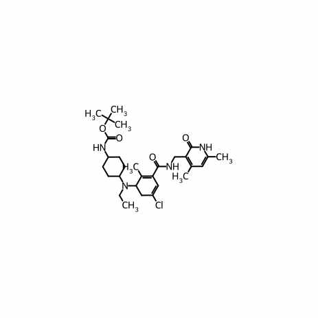 CCN(C1CCC(NC(=O)OC(C)(C)C)CC1)C1CC(Cl)=CC(C(=O)NCc2c(C)cc(C)[nH]c2=O)=C1C